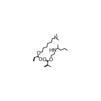 C=C(C)C(=O)OCCNC(C)CCC.C=CC(=O)OCCCCCCN(C)C